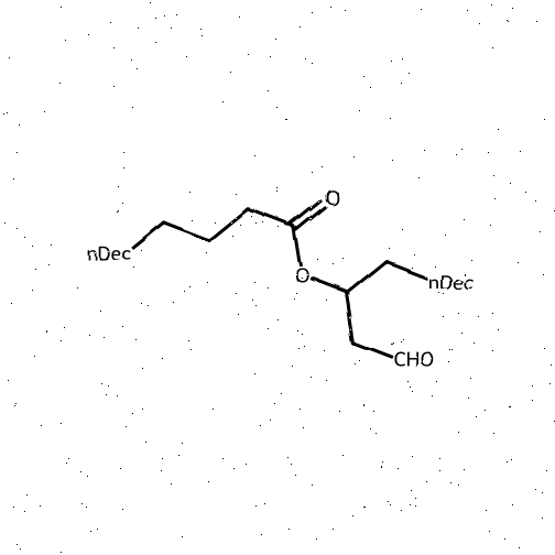 CCCCCCCCCCCCCC(=O)OC(CC=O)CCCCCCCCCCC